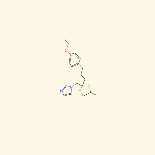 CCOc1ccc(CCCC2(Cn3ccnc3)SCC(C)S2)cc1